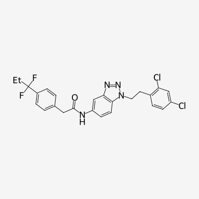 CCC(F)(F)c1ccc(CC(=O)Nc2ccc3c(c2)nnn3CCc2ccc(Cl)cc2Cl)cc1